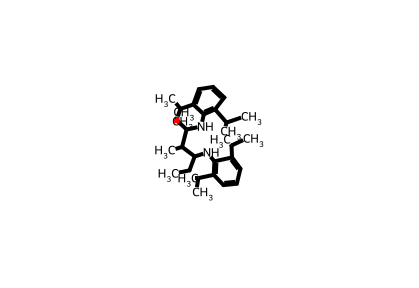 CCC(Nc1c(C(C)C)cccc1C(C)C)C(C)C(CC)Nc1c(C(C)C)cccc1C(C)C